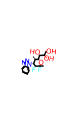 C[C@H]1[C@H]([C@H](O)[C@H](O)CO)OC(C)(F)C(F)[C@@H]1n1nnc2ccccc21